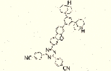 C[C@@H]1C[C@@H]2C[C@H](C)CC(c3cc(-c4ccc5c(c4)oc4cc(-c6nc(-c7ccc(C#N)cc7)nc(-c7ccc(C#N)cc7)n6)ccc45)cc(C45C[C@H](C)C[C@H](C[C@H](C)C4)C5)c3)(C1)C2